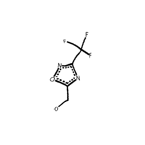 [O]Cc1nc(C(F)(F)F)no1